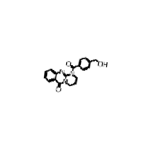 O=C(c1ccc(CO)cc1)N1CCCn2c1nc1ccccc1c2=O